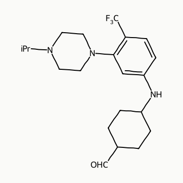 CC(C)N1CCN(c2cc(NC3CCC(C=O)CC3)ccc2C(F)(F)F)CC1